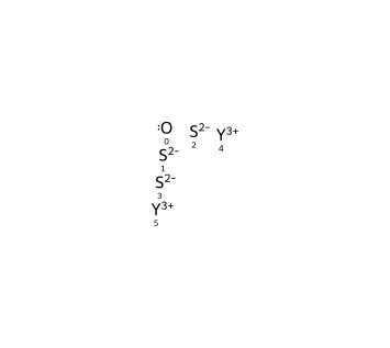 [O].[S-2].[S-2].[S-2].[Y+3].[Y+3]